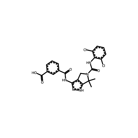 CC1(C)c2[nH]nc(NC(=O)c3cccc(C(=O)O)c3)c2CN1C(=O)Nc1c(Cl)cccc1Cl